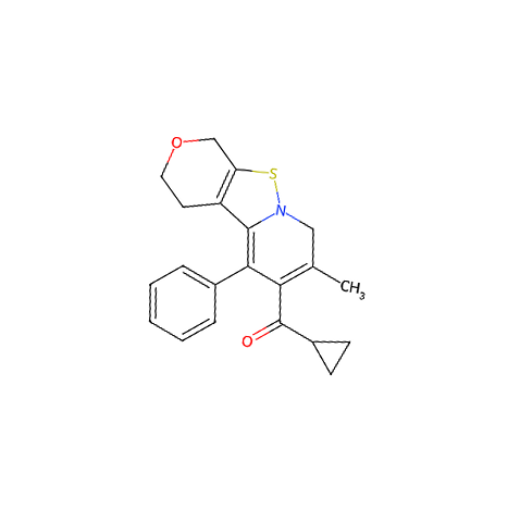 CC1=C(C(=O)C2CC2)C(c2ccccc2)=C2C3=C(COCC3)SN2C1